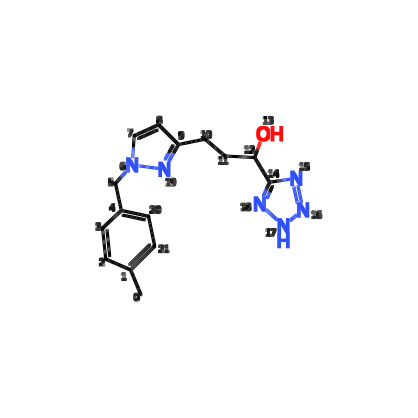 Cc1ccc(Cn2ccc(CCC(O)c3nn[nH]n3)n2)cc1